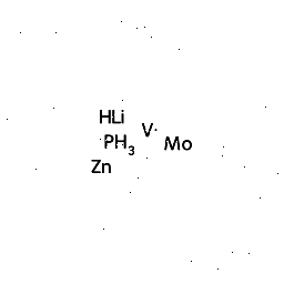 P.[LiH].[Mo].[V].[Zn]